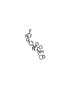 O=c1c(Cl)c(NC[C@@H]2CCCOC2)cnn1-c1ccc(Oc2ccc(F)cn2)cc1